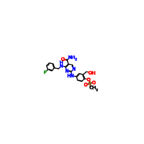 CS(=O)(=O)Oc1ccc(Nc2ncc(C(N)=O)c(NCc3cccc(F)c3)n2)cc1CO